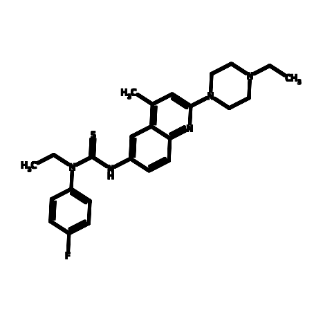 CCN1CCN(c2cc(C)c3cc(NC(=S)N(CC)c4ccc(F)cc4)ccc3n2)CC1